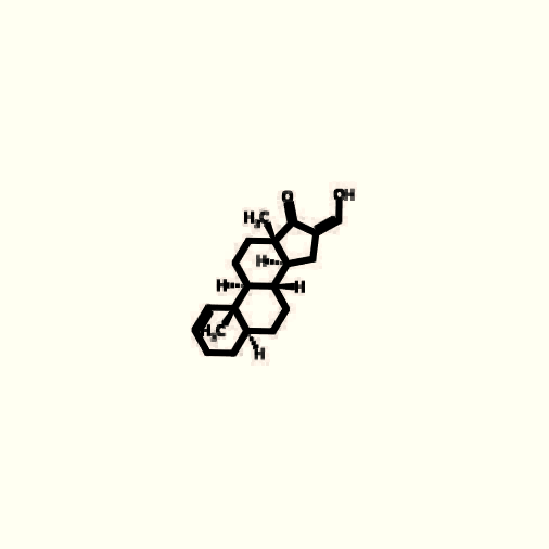 C[C@]12C=CCC[C@@H]1CC[C@@H]1[C@@H]2CC[C@]2(C)C(=O)/C(=C\O)C[C@@H]12